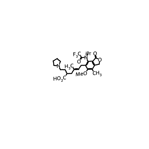 COc1c(C)c2c(c(N(C(=O)C(F)(F)F)C(C)C)c1C/C=C(\C)CC(CCN1CCCC1)C(=O)O)C(=O)OC2